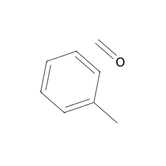 C=O.Cc1ccccc1